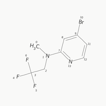 CN(CC(F)(F)F)c1cc(Br)ccn1